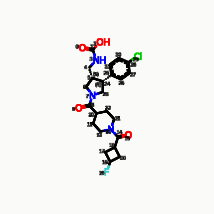 O=C(O)NC[C@H]1CN(C(=O)C2CCN(C(=O)C3CC(F)C3)CC2)C[C@H]1c1ccc(Cl)cc1